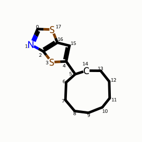 c1nc2sc(C3CCCCCCCCC3)cc2s1